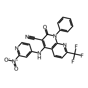 N#Cc1c(Nc2ccnc([N+](=O)[O-])c2)c2ccc(C(F)(F)F)nc2n(-c2ccccc2)c1=O